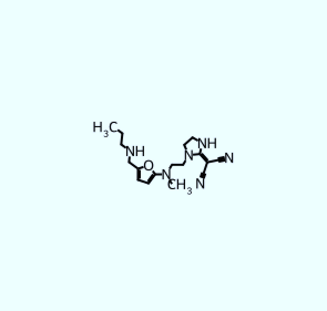 CCCNCc1ccc(N(C)CCN2CCNC2=C(C#N)C#N)o1